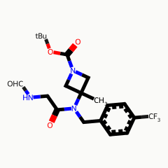 CC(C)(C)OC(=O)N1CC(C)(N(Cc2ccc(C(F)(F)F)cc2)C(=O)CNC=O)C1